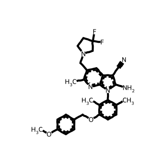 COc1ccc(COc2ccc(C)c(-n3c(N)c(C#N)c4cc(CN5CCC(F)(F)C5)c(C)nc43)c2C)cc1